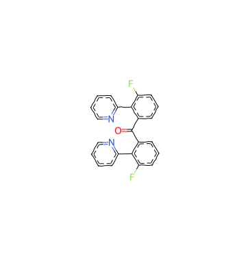 O=C(c1cccc(F)c1-c1ccccn1)c1cccc(F)c1-c1ccccn1